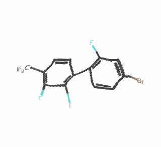 Fc1cc(Br)ccc1-c1ccc(C(F)(F)F)c(F)c1F